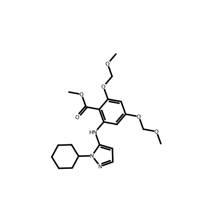 COCOc1cc(Nc2ccnn2C2CCCCC2)c(C(=O)OC)c(OCOC)c1